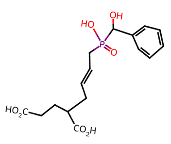 O=C(O)CCC(CC=CCP(=O)(O)C(O)c1ccccc1)C(=O)O